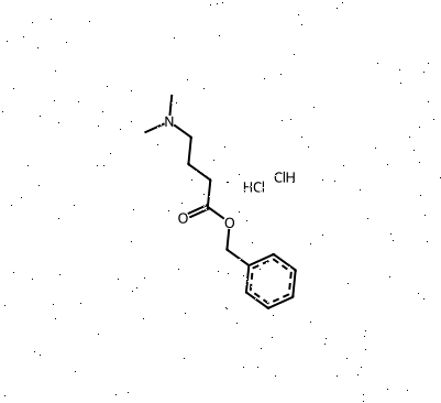 CN(C)CCCC(=O)OCc1ccccc1.Cl.Cl